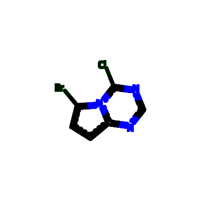 Clc1ncnc2ccc(Br)n12